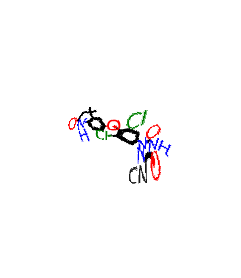 CC1(C)CC(=O)Nc2ccc(Oc3c(Cl)cc(-n4nc(C#N)c(=O)[nH]c4=O)cc3Cl)cc21